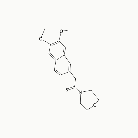 COc1cc2ccc(CC(=S)N3CCOCC3)cc2cc1OC